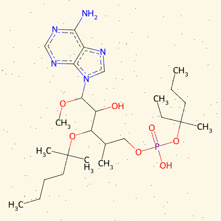 CCCCC(C)(C)OC(C(C)COP(=O)(O)OC(C)(CC)CCC)C(O)C(OC)n1cnc2c(N)ncnc21